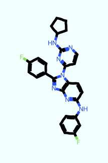 Fc1ccc(-c2nc3nc(Nc4cccc(F)c4)ccc3n2-c2ccnc(NC3CCCC3)n2)cc1